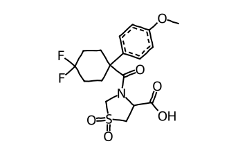 COc1ccc(C2(C(=O)N3CS(=O)(=O)CC3C(=O)O)CCC(F)(F)CC2)cc1